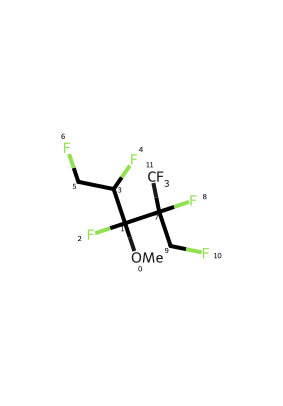 COC(F)(C(F)CF)C(F)(CF)C(F)(F)F